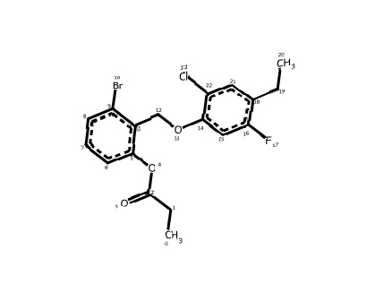 CCC(=O)Oc1cccc(Br)c1COc1cc(F)c(CC)cc1Cl